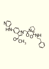 CC(=O)c1cn(CC(=O)N2CCC[C@H]2C(=O)NCCc2ccccc2)c2ccc(Nc3cccnc3)cc12